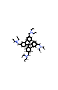 CCN(CC)Cc1ccc2c(c1)-c1cc(CN(CC)CC)ccc1C21c2ccc(CN(CC)CC)cc2-c2cc(CN(CC)CC)ccc21